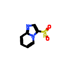 O=[SH](=O)c1cnc2ccccn12